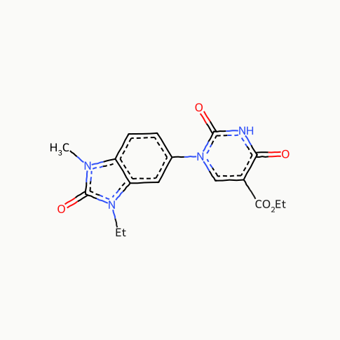 CCOC(=O)c1cn(-c2ccc3c(c2)n(CC)c(=O)n3C)c(=O)[nH]c1=O